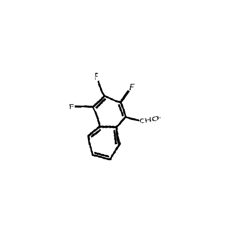 O=[C]c1c(F)c(F)c(F)c2ccccc12